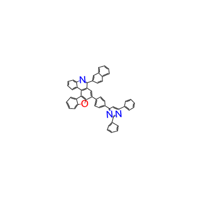 c1ccc(-c2cc(-c3ccc(-c4cc5c(-c6ccc7ccccc7c6)nc6ccccc6c5c5c4oc4ccccc45)cc3)nc(-c3ccccc3)n2)cc1